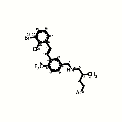 CC(=O)CC[C@H](C)CNCc1ccc(C(F)(F)F)c(/C=C/c2cccc(Br)c2Cl)c1